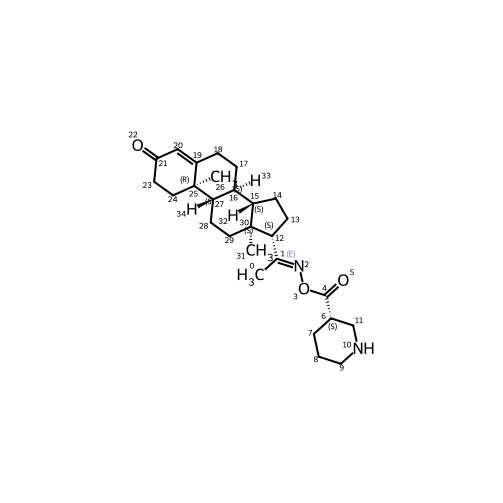 C/C(=N\OC(=O)[C@H]1CCCNC1)[C@H]1CC[C@H]2[C@@H]3CCC4=CC(=O)CC[C@]4(C)[C@H]3CC[C@]12C